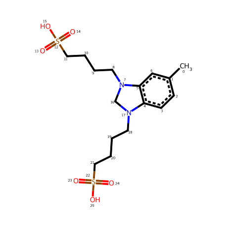 Cc1ccc2c(c1)N(CCCCS(=O)(=O)O)CN2CCCCS(=O)(=O)O